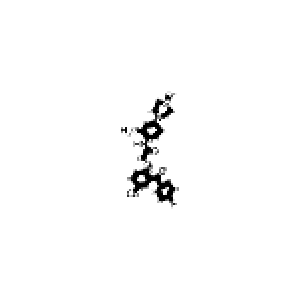 Cc1cc(N2CC[S+]([O-])CC2)ccc1NC(=O)COc1ccc(Cl)cc1C(=O)c1ccc(F)cc1